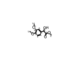 COC(=O)C(O)c1ccc(OC)c(OC)c1